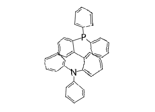 c1ccc(N(c2ccccc2)c2ccccc2-c2ccccc2P(c2ccccc2)c2ccccc2)cc1